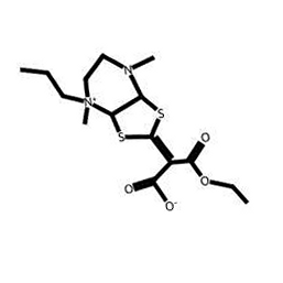 CCC[N+]1(C)CCN(C)C2SC(=C(C(=O)[O-])C(=O)OCC)SC21